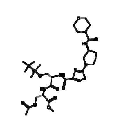 COC(=O)[C@H](COC(C)=O)NC(=O)[C@H](CO[Si](C)(C)C(C)(C)C)NC(=O)c1csc(N2CCC[C@H](NC(=O)C3CCOCC3)C2)n1